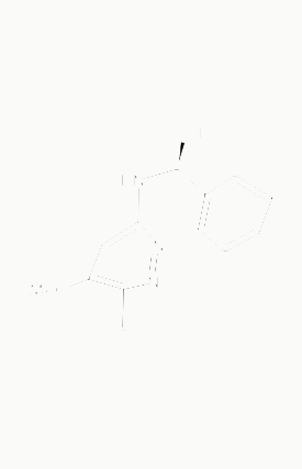 COc1cc(N[C@@H](C)c2ccccc2)nnc1Cl